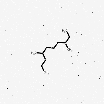 [CH2]CC(C)CCCC(C)CCC